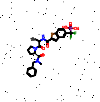 CN(Cc1ccccc1)C(=O)[C@@H]1CCCN1C(=O)C(NC(=O)c1cc2cc(C(F)(F)P(=O)(O)O)ccc2s1)C(C)(C)C